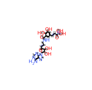 Nc1ncnc2c1ncn2C1OC(/C=C/CNC(=O)c2cc(/C=C/C(=O)N(O)O)cc(O)c2O)C(O)C1O